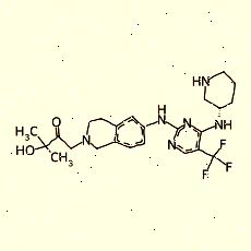 CC(C)(O)C(=O)CN1CCc2cc(Nc3ncc(C(F)(F)F)c(N[C@H]4CCCNC4)n3)ccc2C1